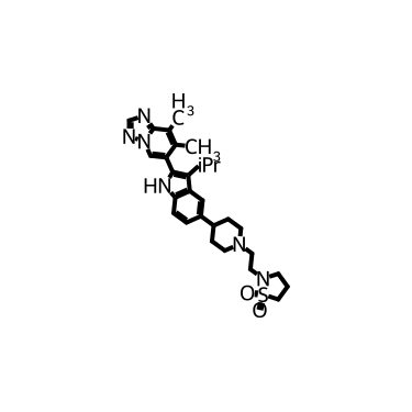 Cc1c(-c2[nH]c3ccc(C4CCN(CCN5CCCS5(=O)=O)CC4)cc3c2C(C)C)cn2ncnc2c1C